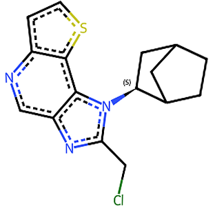 ClCc1nc2cnc3ccsc3c2n1[C@H]1CC2CCC1C2